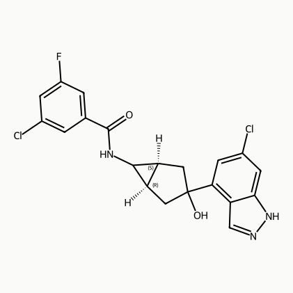 O=C(NC1[C@H]2CC(O)(c3cc(Cl)cc4[nH]ncc34)C[C@@H]12)c1cc(F)cc(Cl)c1